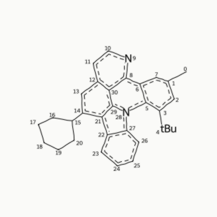 Cc1cc(C(C)(C)C)c2c(c1)c1nccc3cc(C4CCCCC4)c4c5ccccc5n2c4c31